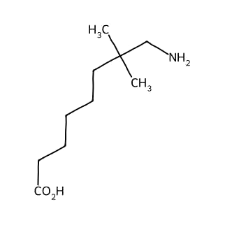 CC(C)(CN)CCCCCC(=O)O